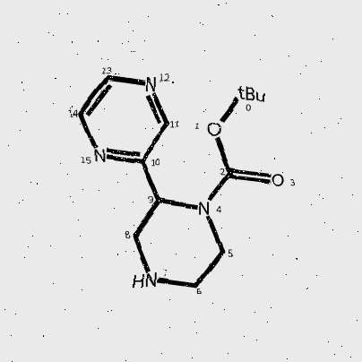 CC(C)(C)OC(=O)N1CCNCC1c1cnccn1